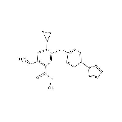 C=Cc1cc(C2CC2)c(Cc2ccc(-n3cccn3)cc2)cc1C(=O)OC